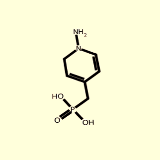 NN1C=CC(CP(=O)(O)O)=CC1